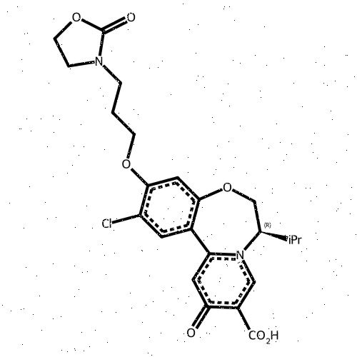 CC(C)[C@@H]1COc2cc(OCCCN3CCOC3=O)c(Cl)cc2-c2cc(=O)c(C(=O)O)cn21